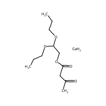 CCCOC(COC(=O)CC(C)=O)OCCC.[GaH3]